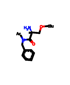 CC(=O)N(Cc1ccccc1)C(=O)[C@H](N)COC(C)(C)C